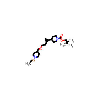 CCSN1CCC(COCCC2CC2C2CCN(C(=O)OCC(C)(C)C)CC2)CC1